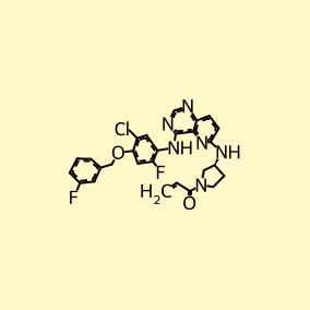 C=CC(=O)N1CC[C@H](Nc2ccc3ncnc(Nc4cc(Cl)c(OCc5cccc(F)c5)cc4F)c3n2)C1